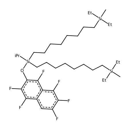 CC[Si](C)(CC)CCCCCCCC[Si](CCCCCCCC[Si](C)(CC)CC)(Oc1c(F)c(F)c2[c]c(F)c(F)c(F)c2c1F)C(C)C